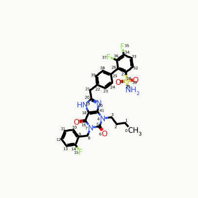 CCCCn1c(=O)n(Cc2ccccc2F)c(=O)c2[nH]c(Cc3ccc(-c4c(S(N)(=O)=O)ccc(F)c4F)cc3)nc21